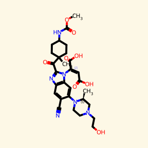 COC(=O)NC1CCC(C)(C(=O)c2nc3cc(C#N)c(N4CCN(CCO)C[C@@H]4C)cc3n2/C(=C\C(=O)O)C(=O)O)CC1